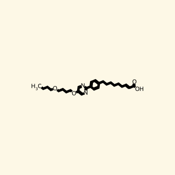 CCCCOCCCCOc1cnc(-c2ccc(CCCCCC/C=C/C(=O)O)cc2)nc1